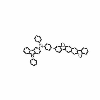 c1ccc(N(c2ccc(-c3ccc4c(c3)oc3cc5cc6c(cc5cc34)oc3ccccc36)cc2)c2ccc3c(c2)c2ccccc2n3-c2ccccc2)cc1